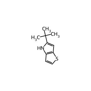 CC(C)(C)c1cc2sccc2[nH]1